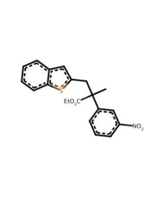 CCOC(=O)C(C)(Cc1cc2ccccc2s1)c1cccc([N+](=O)[O-])c1